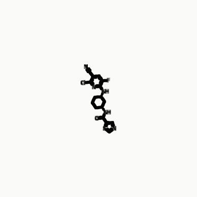 N#Cc1cc(F)c(N[C@@H]2CCC[C@H](NC(=O)c3cncs3)C2)nc1Cl